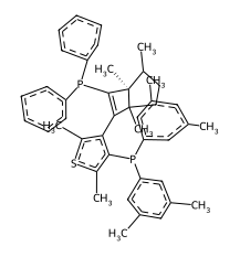 Cc1cc(C)cc(P(c2cc(C)cc(C)c2)c2c(C)sc(C)c2C2=C(P(c3ccccc3)c3ccccc3)[C@@]3(C)C(C)CCC23C)c1